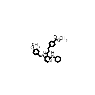 COC(=O)c1ccc(CCc2nn(Cc3ccc(OC)cc3)c3ccnc(NC4CCCCC4)c23)cc1